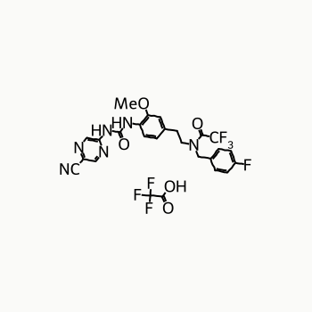 COc1cc(CCN(Cc2ccc(F)cc2)C(=O)C(F)(F)F)ccc1NC(=O)Nc1cnc(C#N)cn1.O=C(O)C(F)(F)F